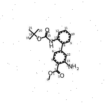 COC(=O)c1ccc(-c2ccccc2NC(=O)OC(C)(C)C)cc1N